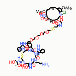 COc1cc2cc(c1Cl)N(C)C(=O)C[C@H](OC(=O)[C@H](C)N(C)C(=O)CCSSCCOCCOCCOCCOCCCN[C@H](Cc1ccccc1)C(=O)N[C@H]1CSSC[C@@H](C(=O)N[C@H](CO)[C@@H](C)O)NC(=O)[C@H]([C@@H](C)O)NC(=O)[C@H](CCCCN)NC(=O)[C@@H](Cc3c[nH]c4ccccc34)NC(=O)[C@H](Cc3ccccc3)NC1=O)[C@]1(C)O[C@H]1[C@H](C)[C@@H]1C[C@@](O)(NC(=O)O1)[C@H](OC)/C=C/C=C(\C)C2